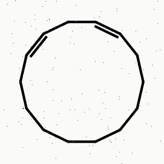 [CH]1CC=CCC=CCCCCCCC1